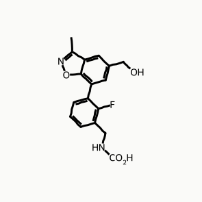 Cc1noc2c(-c3cccc(CNC(=O)O)c3F)cc(CO)cc12